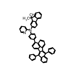 CC1(C)c2ccccc2-c2ccc(N(c3ccc(-c4ccc5c6c(cccc46)-c4c-5c(-c5ccccc5)c5ccccc5c4-c4ccccc4)cc3)c3ccccn3)cc21